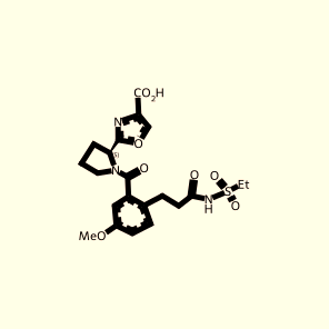 CCS(=O)(=O)NC(=O)CCc1ccc(OC)cc1C(=O)N1CCC[C@H]1c1nc(C(=O)O)co1